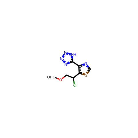 O=COCC(Cl)c1scnc1-c1nnn[nH]1